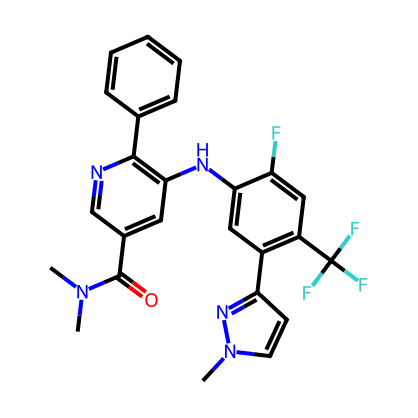 CN(C)C(=O)c1cnc(-c2ccccc2)c(Nc2cc(-c3ccn(C)n3)c(C(F)(F)F)cc2F)c1